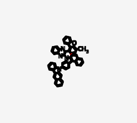 Cc1ccc(-c2nc3ccccc3nc2-n2c3cc(-n4c5ccccc5c5cc6ccccc6cc54)ccc3c3c4ccccc4ccc32)c2c1oc1ccccc12